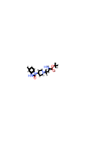 Cc1ccc2c(c1)[nH]c(=O)n2C1CCN(C(C)(C)CC(=N)C(=O)OC(C)(C)C)CC1